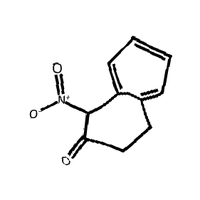 O=C1CCc2ccccc2C1[N+](=O)[O-]